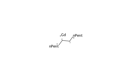 CCCCCCCCCCCC.[Gd]